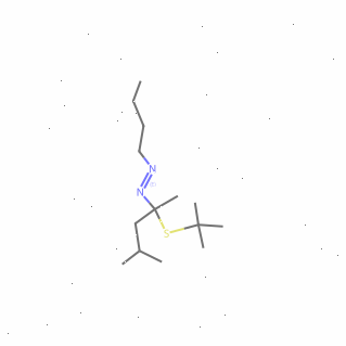 CCCC/N=N/C(C)(CC(C)C)SC(C)(C)C